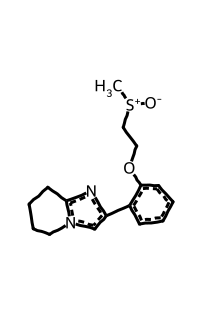 C[S+]([O-])CCOc1ccccc1-c1cn2c(n1)CCCC2